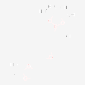 Cc1cc(OCCC2COC(C)(C)O2)ccc1B1OC(C)(C)C(C)(C)O1